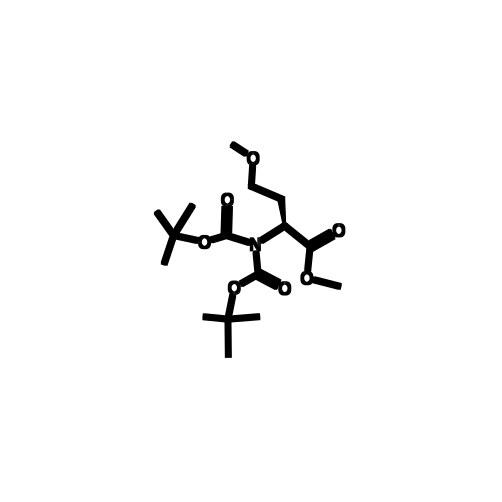 COCC[C@@H](C(=O)OC)N(C(=O)OC(C)(C)C)C(=O)OC(C)(C)C